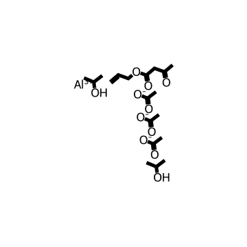 C=CCOC(=O)CC(C)=O.CC(=O)[O-].CC(=O)[O-].CC(=O)[O-].CC(C)O.CC(C)O.[Al+3]